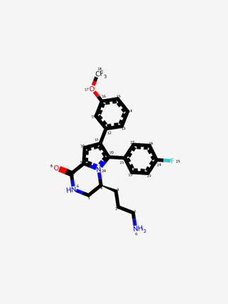 NCCC[C@H]1CNC(=O)c2cc(-c3cccc(OC(F)(F)F)c3)c(-c3ccc(F)cc3)n21